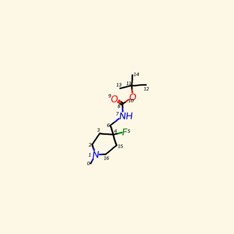 CN1CCC(F)(CNC(=O)OC(C)(C)C)CC1